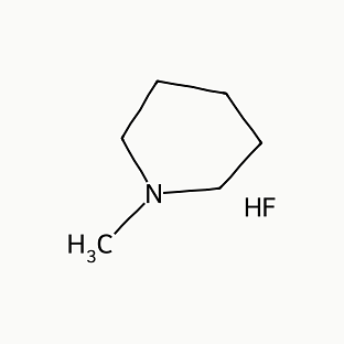 CN1CCCCC1.F